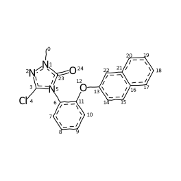 Cn1nc(Cl)n(-c2ccccc2Oc2ccc3ccccc3c2)c1=O